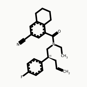 C=CC[C@H](CN(CC)C(=O)c1cc(C#N)cc2c1CCCC2)c1ccc(F)cc1